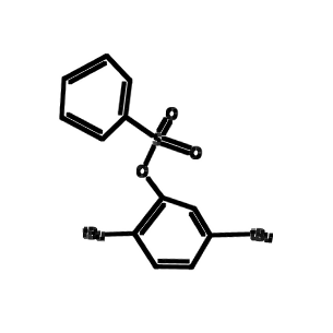 CC(C)(C)c1ccc(C(C)(C)C)c(OS(=O)(=O)c2ccccc2)c1